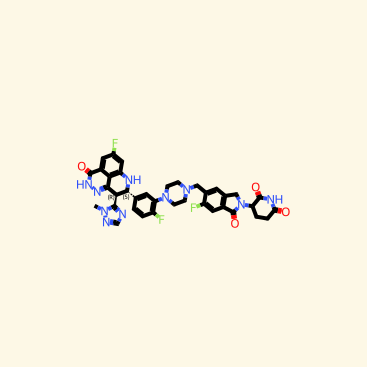 Cn1ncnc1[C@H]1c2n[nH]c(=O)c3cc(F)cc(c23)N[C@@H]1c1ccc(F)c(N2CCN(Cc3cc4c(cc3F)C(=O)N(C3CCC(=O)NC3=O)C4)CC2)c1